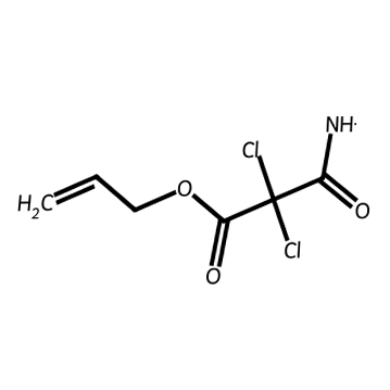 C=CCOC(=O)C(Cl)(Cl)C([NH])=O